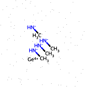 C[NH-].C[NH-].C[NH-].C[NH-].[Ge+4]